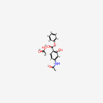 CC(=O)Nc1ccc(C(=O)Oc2ccccc2)c(O)c1.CC(=O)O